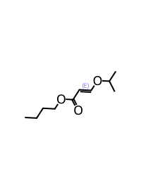 CCCCOC(=O)/C=C/OC(C)C